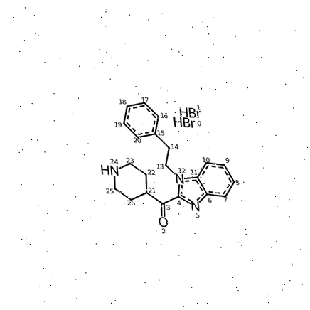 Br.Br.O=C(c1nc2ccccc2n1CCc1ccccc1)C1CCNCC1